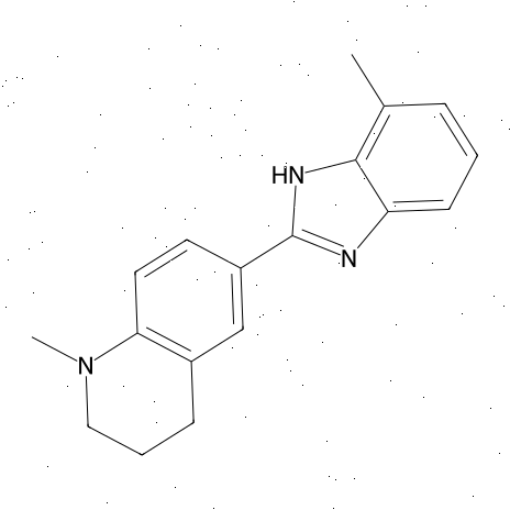 Cc1cccc2nc(-c3ccc4c(c3)CCCN4C)[nH]c12